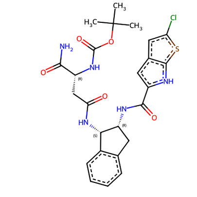 CC(C)(C)OC(=O)N[C@H](CC(=O)N[C@H]1c2ccccc2C[C@H]1NC(=O)c1cc2cc(Cl)sc2[nH]1)C(N)=O